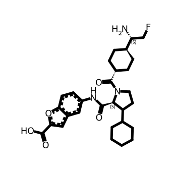 N[C@H](CF)[C@H]1CC[C@H](C(=O)N2CCC(C3CCCCC3)[C@H]2C(=O)Nc2ccc3oc(C(=O)O)cc3c2)CC1